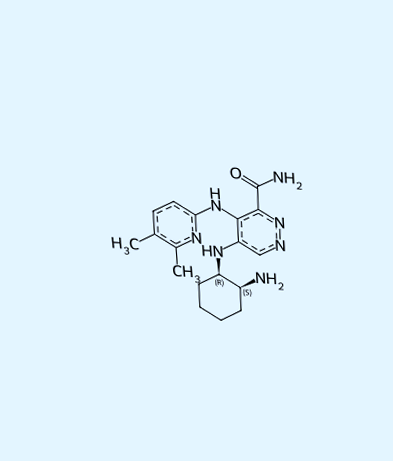 Cc1ccc(Nc2c(N[C@@H]3CCCC[C@@H]3N)cnnc2C(N)=O)nc1C